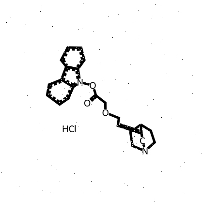 Cl.O=C(COCC=C1CN2CCC1CC2)On1c2ccccc2c2ccccc21